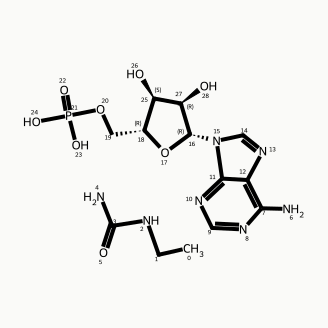 CCNC(N)=O.Nc1ncnc2c1ncn2[C@@H]1O[C@H](COP(=O)(O)O)[C@@H](O)[C@H]1O